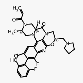 C=CC(=O)N1C[C@@H]2C(=O)N3C[C@@H](CN4CCCC4)Oc4nc5c(F)c(-c6c(O)cccc6F)c(Cl)cc5c(c43)N2C[C@H]1C